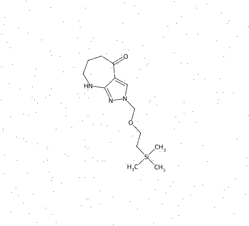 C[Si](C)(C)CCOCn1cc2c(n1)NCCCC2=O